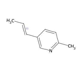 C/C=C/c1ccc(C)nc1